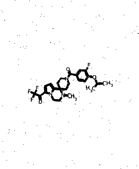 CC(C)Oc1ccc(C(=O)N2CCC3(CC2)c2ccc(C(=O)C(F)(F)F)n2CCN3C)cc1F